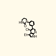 CCc1c[nH]c2ncc(-c3cccc(N4CCCNC4=O)c3)c(Cl)c12